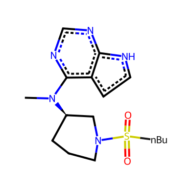 CCCCS(=O)(=O)N1CCC[C@@H](N(C)c2ncnc3[nH]ccc23)C1